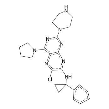 Clc1nc2c(N3CCCC3)nc(N3CCNCC3)nc2nc1NC1(c2ccccc2)CC1